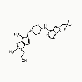 Cc1c(CN2CCC(Nc3ncnc4sc(CC(F)(F)F)cc34)CC2)ccc2c1cc(C)n2CCO